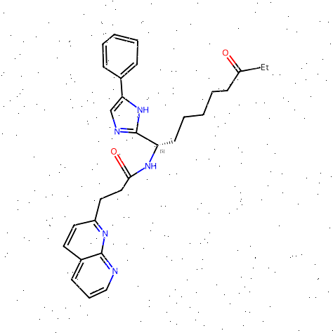 CCC(=O)CCCCC[C@H](NC(=O)CCc1ccc2cccnc2n1)c1ncc(-c2ccccc2)[nH]1